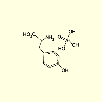 NC(Cc1ccc(O)cc1)C(=O)O.O=[As](O)(O)O